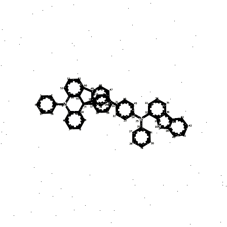 c1ccc(N2c3ccccc3C3(c4ccccc4)c4cc(-c5ccc(N(c6ccccc6)c6cccc7c6sc6ccccc67)cc5)ccc4-c4cccc2c43)cc1